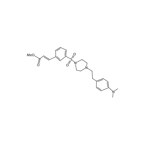 COC(=O)C=Cc1cccc(S(=O)(=O)N2CCN(CCc3ccc(N(C)C)cc3)CC2)c1